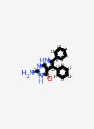 Nc1nc2[nH]c(-c3ccccc3)c(-c3ccccc3)c2c(=O)[nH]1